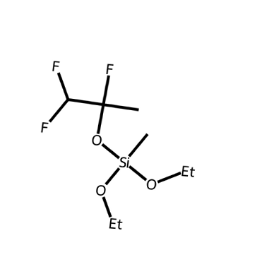 CCO[Si](C)(OCC)OC(C)(F)C(F)F